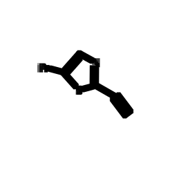 C#Cc1ncc(C(C)C)s1